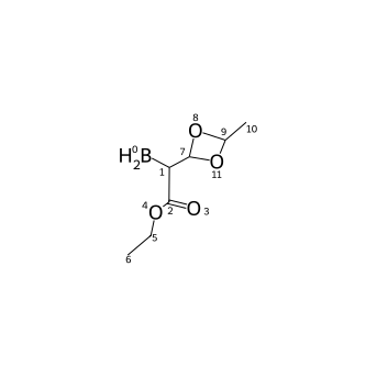 BC(C(=O)OCC)C1OC(C)O1